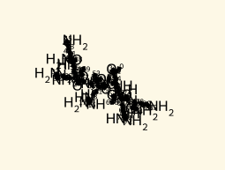 CCC(=O)N(CCNC(=O)[C@H](CCCNC(=N)N)N(CCNCC(=O)[C@H](CCCNC(=N)N)N(CCNC(=O)[C@@H](N)CCCCN)C(=O)CC)C(=O)CC)CC(=O)NCCN(C(=O)CC)[C@@H](CCCNC(=N)N)C(=O)CN[C@@H](CCCCN)C(N)=O